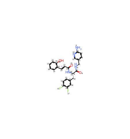 Nc1ccc(CNC(=O)[C@H](Cc2ccc(F)c(F)c2)NC(=O)/C=C/c2ccccc2O)cn1